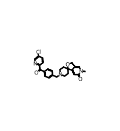 Cn1cc2c(cc1=O)C1(CCN(Cc3ccc(C(=O)c4ccc(Cl)cn4)cc3)CC1)OC2